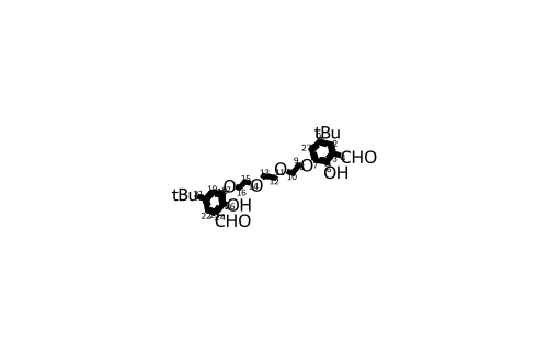 CC(C)(C)c1cc(C=O)c(O)c(OCCOCCOCCOc2cc(C(C)(C)C)cc(C=O)c2O)c1